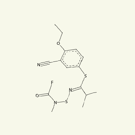 CCOc1ccc(SC(=NSN(C)C(=O)F)C(C)C)cc1C#N